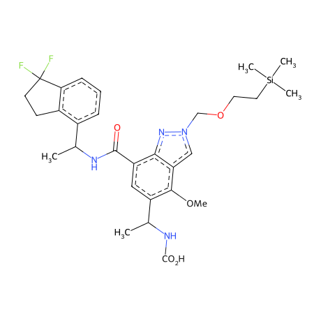 COc1c(C(C)NC(=O)O)cc(C(=O)NC(C)c2cccc3c2CCC3(F)F)c2nn(COCC[Si](C)(C)C)cc12